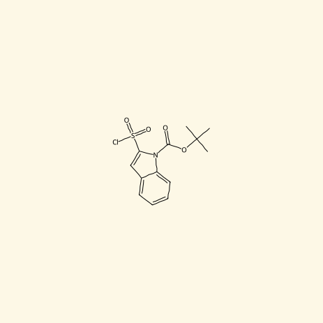 CC(C)(C)OC(=O)n1c(S(=O)(=O)Cl)cc2ccccc21